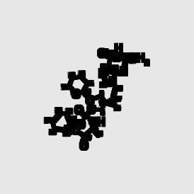 C[C@H](N[P@](=O)(OC[C@@]1(COC2CCCCO2)C/C1=C/n1cnc2c(=O)[nH]c(N)nc21)Oc1ccccc1)C(=O)O